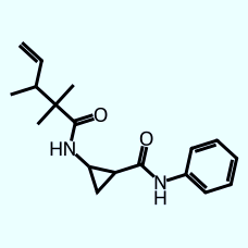 C=CC(C)C(C)(C)C(=O)NC1CC1C(=O)Nc1ccccc1